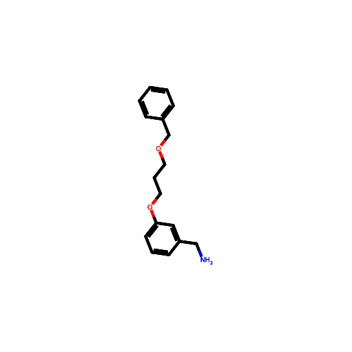 NCc1cccc(OCCCOCc2ccccc2)c1